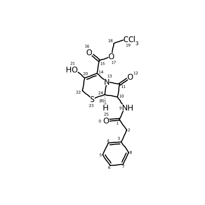 O=C(Cc1ccccc1)NC1C(=O)N2C(C(=O)OCC(Cl)(Cl)Cl)=C(O)CS[C@H]12